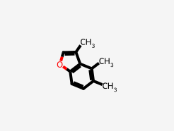 Cc1ccc2occ(C)c2c1C